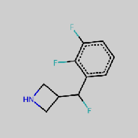 Fc1cccc(C(F)C2CNC2)c1F